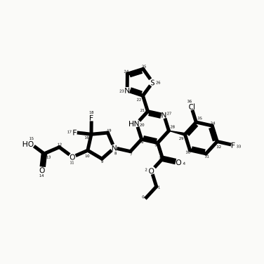 CCOC(=O)C1=C(CN2CC(OCC(=O)O)C(F)(F)C2)NC(c2nccs2)=N[C@H]1c1ccc(F)cc1Cl